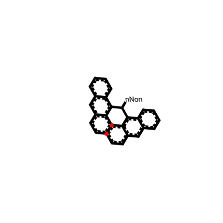 CCCCCCCCCC(c1c2ccccc2cc2ccccc12)c1c2ccccc2cc2ccccc12